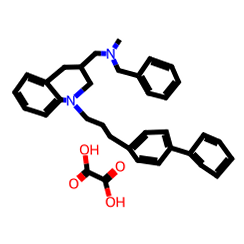 CN(Cc1ccccc1)CC1Cc2ccccc2N(CCCc2ccc(-c3ccccc3)cc2)C1.O=C(O)C(=O)O